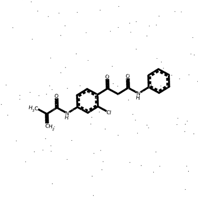 C=C(C)C(=O)Nc1ccc(C(=O)CC(=O)Nc2ccccc2)c(Cl)c1